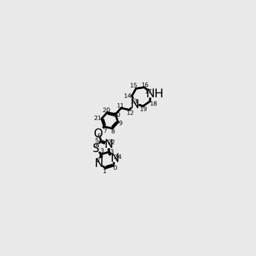 c1cnc2sc(Oc3ccc(CCN4CCCNCC4)cc3)nc2n1